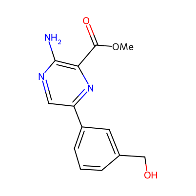 COC(=O)c1nc(-c2cccc(CO)c2)cnc1N